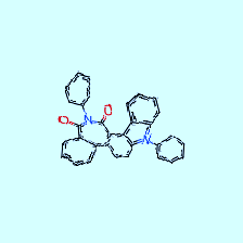 O=c1c2ccccc2c2ccc3c(c4ccccc4n3-c3ccccc3)c2c(=O)n1-c1ccccc1